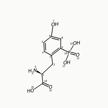 N[C@@H](Cc1ccc(O)cc1P(=O)(O)O)C(=O)O